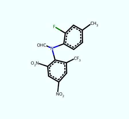 Cc1ccc(N(C=O)c2c([N+](=O)[O-])cc([N+](=O)[O-])cc2C(F)(F)F)c(F)c1